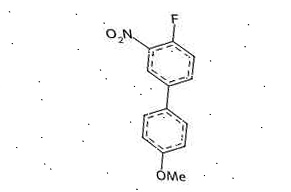 COc1ccc(-c2ccc(F)c([N+](=O)[O-])c2)cc1